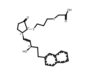 O=C(O)CSCCCS[C@H]1C(=O)CC[C@@H]1/C=C/[C@H](O)CCc1ccc2ccccc2c1